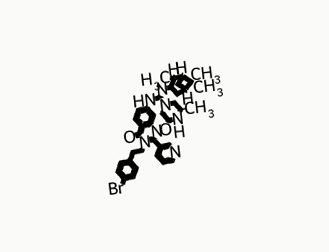 C[C@@H]1C(/N=C(/Nc2ccc3c(=O)n(CCc4ccc(Br)cc4)c(-c4cccnc4)nc3c2)N2CC(=O)N[C@@H](C)C2)C[C@H]2C[C@@H]1C2(C)C